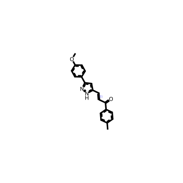 COc1ccc(-c2cc(/C=C/C(=O)c3ccc(C)cc3)[nH]n2)cc1